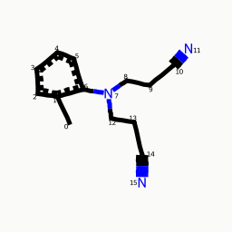 Cc1ccccc1N(CCC#N)CCC#N